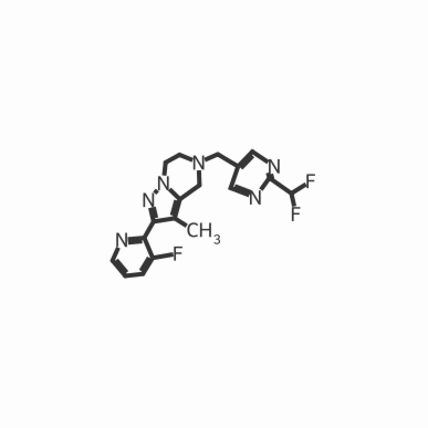 Cc1c(-c2ncccc2F)nn2c1CN(Cc1cnc(C(F)F)nc1)CC2